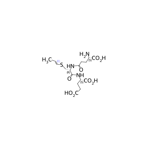 C/C=C/SC[C@H](NC(=O)CC[C@H](N)C(=O)O)C(=O)N[C@@H](CCC(=O)O)C(=O)O